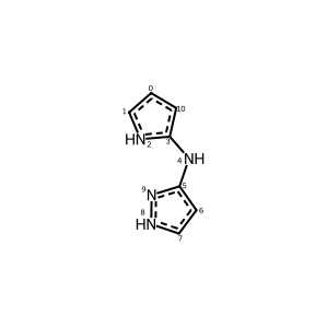 c1c[nH]c(Nc2cc[nH]n2)c1